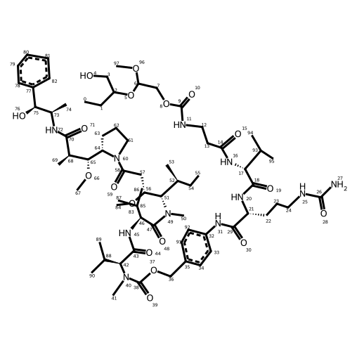 CCC(CO)OC(COC(=O)NCCC(=O)N[C@@H](C(=O)N[C@H](CCCNC(N)=O)C(=O)Nc1ccc(COC(=O)N(C)[C@H](C(=O)N[C@H](C(=O)N(C)[C@@H]([C@@H](C)CC)[C@@H](CC(=O)N2CCC[C@H]2[C@H](OC)[C@@H](C)C(=O)N[C@H](C)[C@@H](O)c2ccccc2)OC)C(C)C)C(C)C)cc1)C(C)C)OC